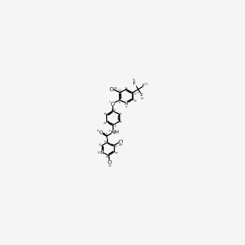 O=C(Nc1ccc(Oc2ncc(C(F)(F)F)cc2Cl)cc1)c1cnc(Cl)cc1Cl